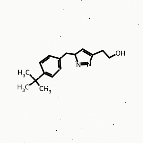 CC(C)(C)c1ccc(CC2C=C(CCO)N=N2)cc1